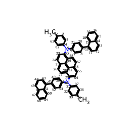 Cc1ccc(N(c2ccc(-c3cccc4ccccc34)cc2)c2ccc3ccc4c(N(c5ccc(C)cc5)c5ccc(-c6cccc7ccccc67)cc5)ccc5ccc2c3c54)cc1